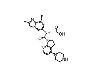 Cc1cn2cc(NC(=O)N3CCc4c(N5CCNCC5)ccnc43)cc(F)c2n1.O=CO